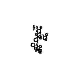 COc1cc([C@H](Cc2c(Cl)cncc2Cl)OC(=O)c2cccc(CN(C(=O)O[C@H]3CN4CCC3CC4)c3ccccc3F)c2)ccc1OC(F)F